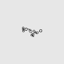 Cn1ncc(C(=O)N2CC[C@H](c3ccccc3)C2)c1C1CCN(Cc2ccc(S(C)(=O)=O)cc2)CC1